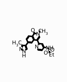 CCS(=O)(=O)Nc1ccnc(-c2cn(C)c(=O)c3ccc(-c4c[nH]nc4C)cc23)c1